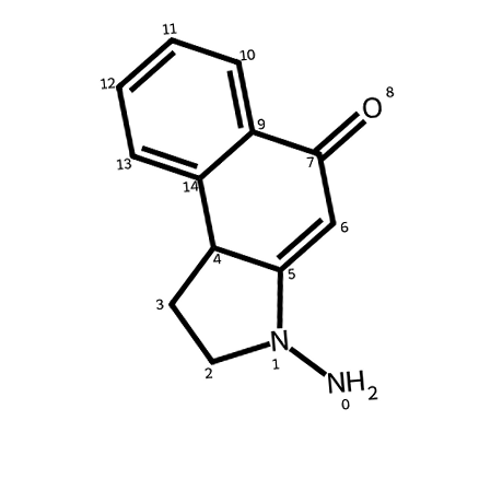 NN1CCC2C1=CC(=O)c1ccccc12